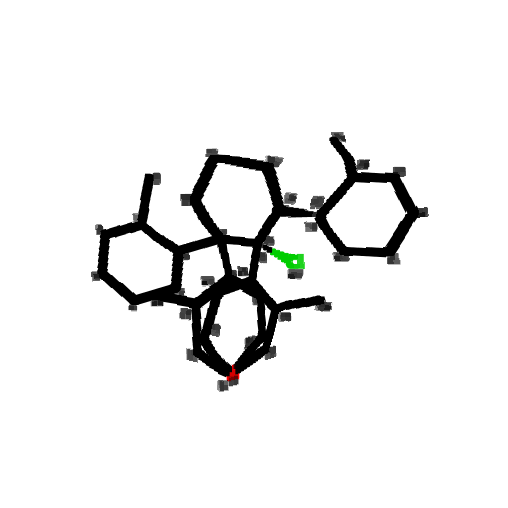 CC1CCCCC1C1(C2CCCCC2C)CCC[C]([C@H]2CCCCC2C)[C@@]1(Cl)C1CCCCC1C